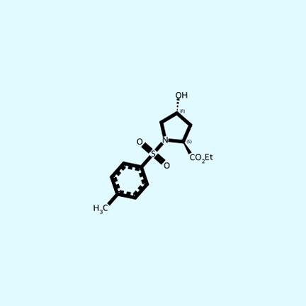 CCOC(=O)[C@@H]1C[C@@H](O)CN1S(=O)(=O)c1ccc(C)cc1